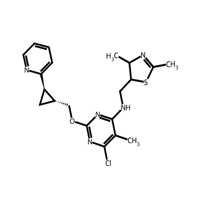 CC1=NC(C)C(CNc2nc(OC[C@@H]3C[C@H]3c3ccccn3)nc(Cl)c2C)S1